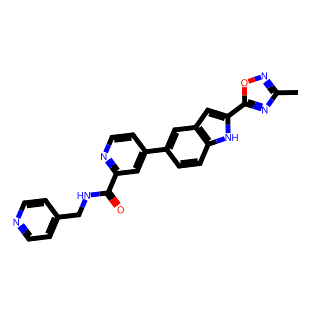 Cc1noc(-c2cc3cc(-c4ccnc(C(=O)NCc5ccncc5)c4)ccc3[nH]2)n1